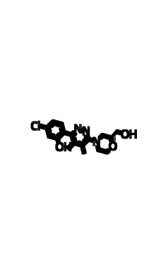 Cc1c(-c2ccc(Cl)cc2O)nnc(N2CCO[C@H](CO)C2)c1C